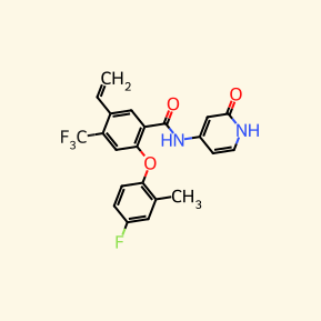 C=Cc1cc(C(=O)Nc2cc[nH]c(=O)c2)c(Oc2ccc(F)cc2C)cc1C(F)(F)F